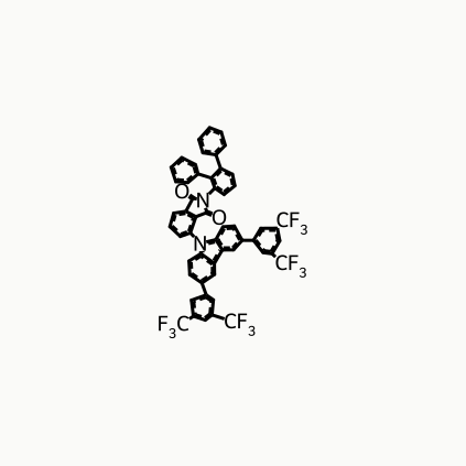 O=C1c2cccc(-n3c4ccc(-c5cc(C(F)(F)F)cc(C(F)(F)F)c5)cc4c4cc(-c5cc(C(F)(F)F)cc(C(F)(F)F)c5)ccc43)c2C(=O)N1c1cccc(-c2ccccc2)c1-c1ccccc1